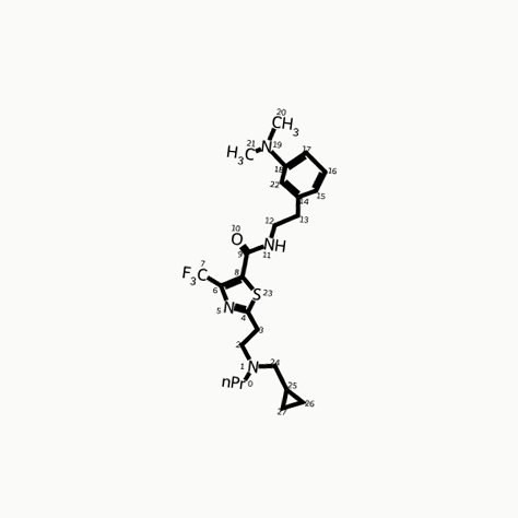 CCCN(CCc1nc(C(F)(F)F)c(C(=O)NCCc2cccc(N(C)C)c2)s1)CC1CC1